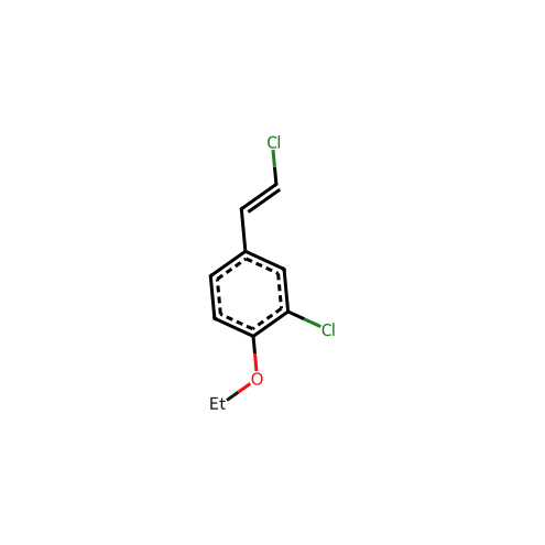 CCOc1ccc(C=CCl)cc1Cl